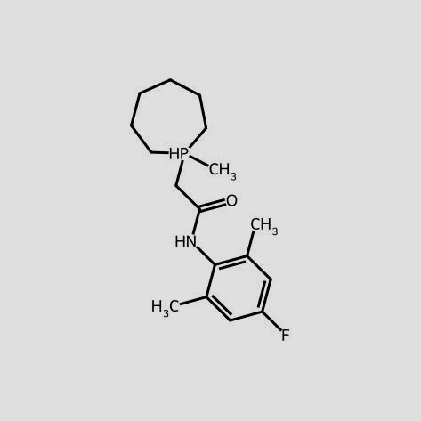 Cc1cc(F)cc(C)c1NC(=O)C[PH]1(C)CCCCCC1